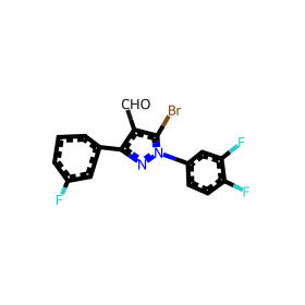 O=Cc1c(-c2cccc(F)c2)nn(-c2ccc(F)c(F)c2)c1Br